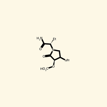 CCCC1CN([C@@H](CC)C(N)=O)C(=O)[C@@H]1OC(=O)O